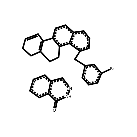 Brc1cccc(Cc2cccc3ccc4c(c23)CCC2=C4C=CCC2)c1.O=c1[nH]ncc2ccccc12